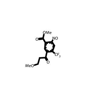 COCCC(=O)c1cc(C(=O)OC)c(N=O)cc1C(F)(F)F